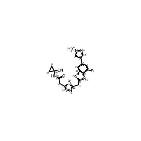 Cn1cc(-c2cc(F)c3nc(Cc4nnc(CC(=O)NC5(C#N)CC5)o4)sc3c2)cn1